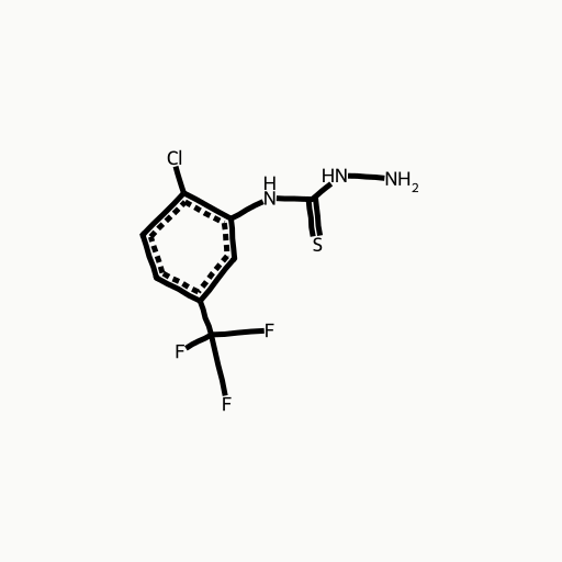 NNC(=S)Nc1cc(C(F)(F)F)ccc1Cl